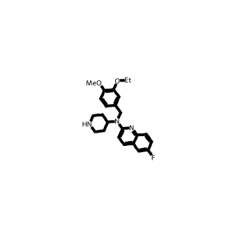 CCOc1cc(CN(c2ccc3cc(F)ccc3n2)C2CCNCC2)ccc1OC